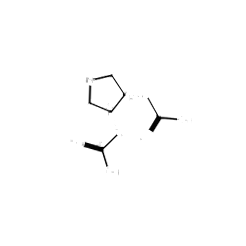 O=C(O)C[C@H]1CNC[C@H]1CC(=O)O